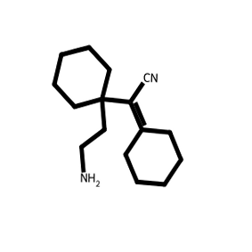 N#CC(=C1CCCCC1)C1(CCN)CCCCC1